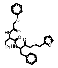 CC(C)CC(NC(=O)COc1ccccc1)C(=O)NC(Cc1ccccc1)C(=O)CSCc1ccco1